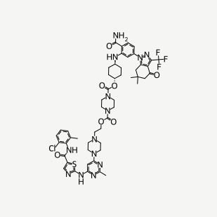 Cc1nc(Nc2ncc(C(=O)Nc3c(C)cccc3Cl)s2)cc(N2CCN(CCOC(=O)N3CCN(C(=O)O[C@H]4CC[C@H](Nc5cc(-n6nc(C(F)(F)F)c7c6CC(C)(C)CC7=O)ccc5C(N)=O)CC4)CC3)CC2)n1